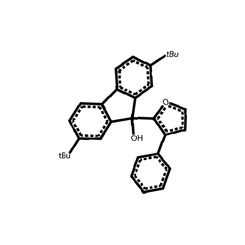 CC(C)(C)c1ccc2c(c1)C(O)(c1occc1-c1ccccc1)c1cc(C(C)(C)C)ccc1-2